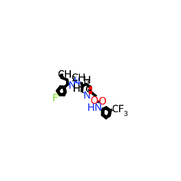 C=CC/C(=N\N(C)C[C@H]1C[N@]2CC[C@H]1CC2COC(=O)Nc1cccc(C(F)(F)F)c1)c1ccc(F)cc1